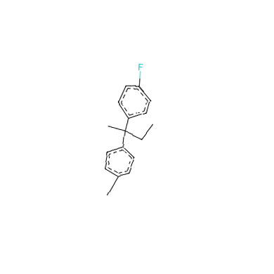 CCC(C)(c1ccc(C)cc1)c1ccc(F)cc1